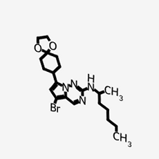 CCCCCC(C)Nc1ncc2c(Br)cc(C3CCC4(CC3)OCCO4)n2n1